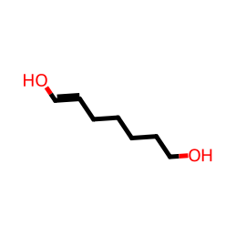 OC=CCCCCCO